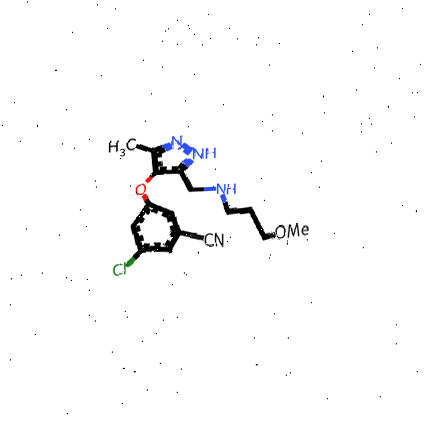 COCCCNCc1[nH]nc(C)c1Oc1cc(Cl)cc(C#N)c1